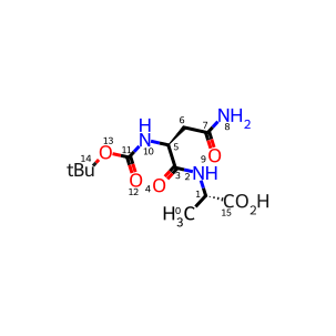 C[C@H](NC(=O)[C@H](CC(N)=O)NC(=O)OC(C)(C)C)C(=O)O